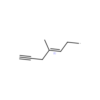 C#CC/C(C)=C/C[CH2]